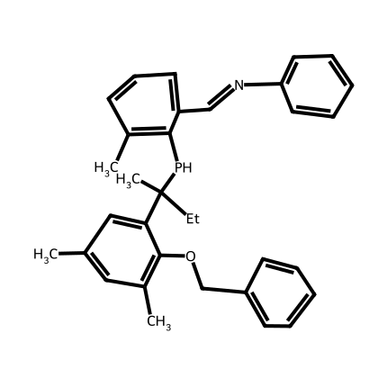 CCC(C)(Pc1c(C)cccc1/C=N/c1ccccc1)c1cc(C)cc(C)c1OCc1ccccc1